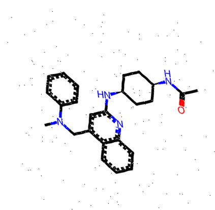 CC(=O)N[C@H]1CC[C@@H](Nc2cc(CN(C)c3ccccc3)c3ccccc3n2)CC1